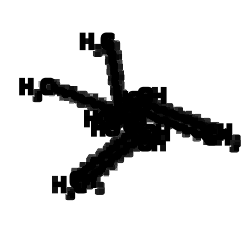 CCCCCCCCCCCCCCc1c(OP(Oc2cc(O)c(O)c(CCCCCCCCCCCCCC)c2CCCCCCCCCCCCCC)Oc2cc(O)c(O)c(CCCCCCCCCCCCCC)c2CCCCCCCCCCCCCC)cc(O)c(O)c1CCCCCCCCCCCCCC